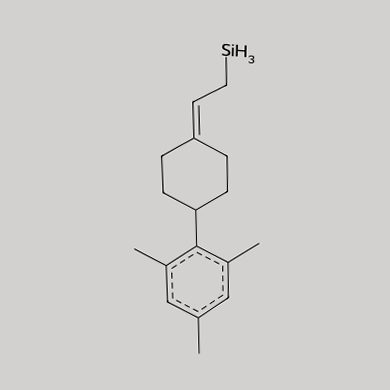 Cc1cc(C)c(C2CCC(=CC[SiH3])CC2)c(C)c1